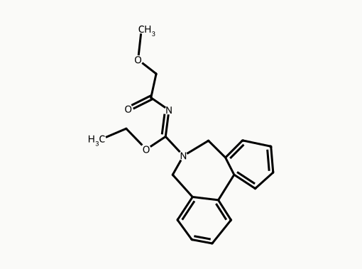 CCOC(=NC(=O)COC)N1Cc2ccccc2-c2ccccc2C1